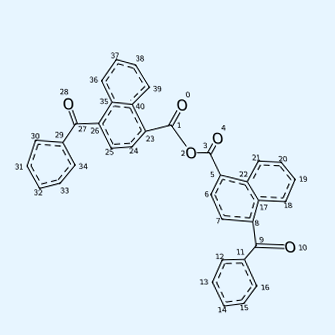 O=C(OC(=O)c1ccc(C(=O)c2ccccc2)c2ccccc12)c1ccc(C(=O)c2ccccc2)c2ccccc12